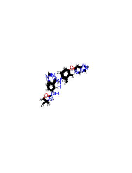 Cc1c(Nc2ncnc3ccc(NC4=NC(C)(C)CO4)cc23)ccc(Oc2cc3nncn3cn2)c1C